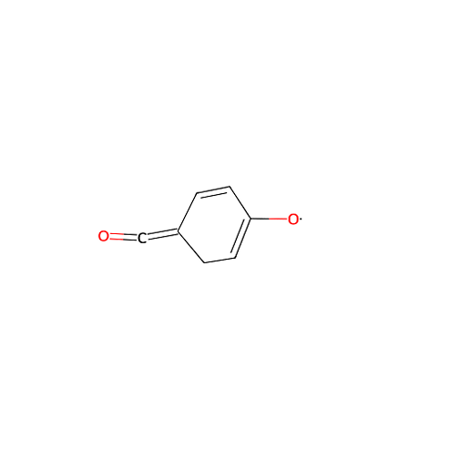 [O]C1=CCC(=C=O)C=C1